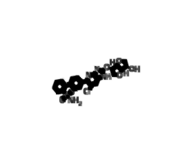 NS(=O)(=O)c1ccccc1-c1ccc(-c2nc3nc(O[C@@H]4CO[C@H]5[C@@H]4OC[C@H]5O)[nH]c3cc2Cl)cc1